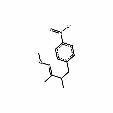 CON=C(C)C(C)Cc1ccc([N+](=O)[O-])cc1